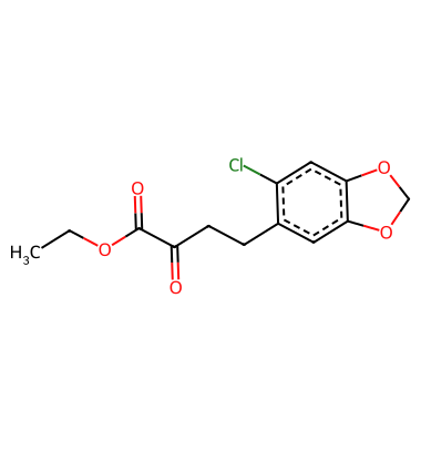 CCOC(=O)C(=O)CCc1cc2c(cc1Cl)OCO2